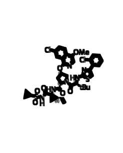 C=C[C@@H]1C[C@]1(NC(=O)[C@@H]1C[C@@H](Oc2ncc(OC)c3ccc(Cl)cc23)CN1C(=O)[C@@H](Nc1nc(-c2ccccc2Cl)cs1)C(C)(C)C)C(=O)NS(=O)(=O)C1CC1